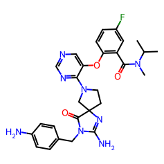 CC(C)N(C)C(=O)c1cc(F)ccc1Oc1cncnc1N1CCC2(C1)N=C(N)N(Cc1ccc(N)cc1)C2=O